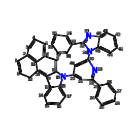 C1=Cc2cccc3cc4c(c(c23)C1)c1ccccc1n4-c1cc(-c2ccccc2)nc(-n2c(-c3ccccc3)nc3ccccc32)c1